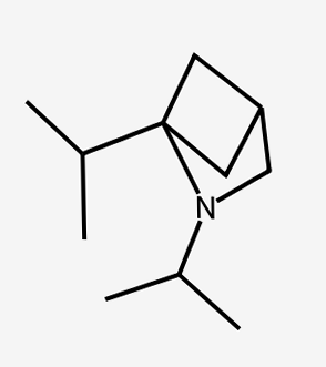 CC(C)N1CC2CC1(C(C)C)C2